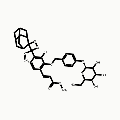 COC(=O)/C=C/c1ccc(C2(OC)OOC23C2CC4CC(C2)CC3C4)c(Cl)c1OCc1ccc(O[C@@H]2OC(CO)[C@H](O)C(O)C2O)cc1